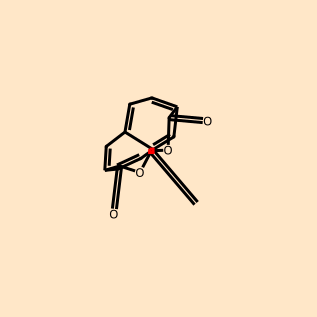 C=C1OC(=O)c2ccc3cc(ccc3c2)C(=O)O1